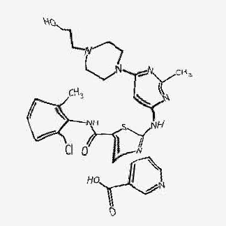 Cc1nc(Nc2ncc(C(=O)Nc3c(C)cccc3Cl)s2)cc(N2CCN(CCO)CC2)n1.O=C(O)c1cccnc1